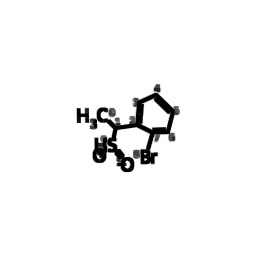 CC(c1ccccc1Br)[SH](=O)=O